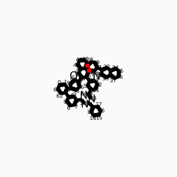 c1ccc(-c2cccc(-c3nc(-c4ccccc4)nc(-c4ccc(-n5c6ccccc6c6cc7ccccc7cc65)c(-c5cc6ccccc6c6oc7ccccc7c56)c4)n3)c2)cc1